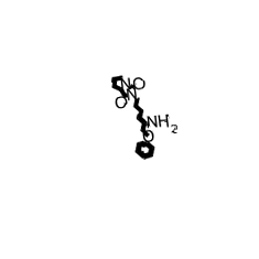 NC(CCCCN1C(=O)C2CCCN2C1=O)COc1ccccc1